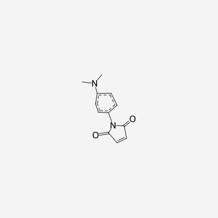 CN(C)c1ccc(N2C(=O)C=CC2=O)cc1